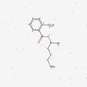 CCCCCCCCCCCCCC(OC(=O)c1ccccc1C(=O)O)C(C)C